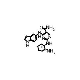 NC(=O)c1cnc(N[C@@H]2CCCC[C@@H]2N)nc1Nc1ccc2[nH]ccc2c1